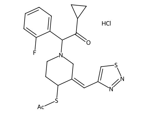 CC(=O)SC1CCN(C(C(=O)C2CC2)c2ccccc2F)CC1=Cc1csnn1.Cl